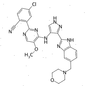 COc1cnc(-c2cc(Cl)ccc2C#N)nc1Nc1c[nH]nc1-c1nc2cc(CN3CCOCC3)ccc2[nH]1